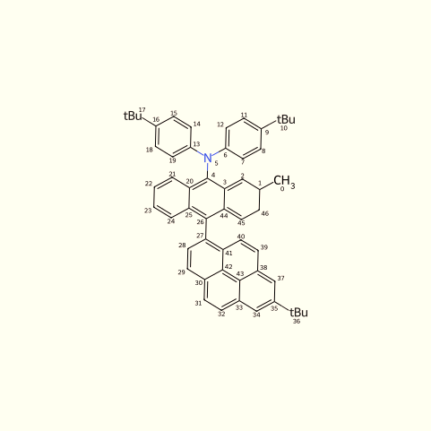 CC1C=c2c(N(c3ccc(C(C)(C)C)cc3)c3ccc(C(C)(C)C)cc3)c3ccccc3c(-c3ccc4ccc5cc(C(C)(C)C)cc6ccc3c4c56)c2=CC1